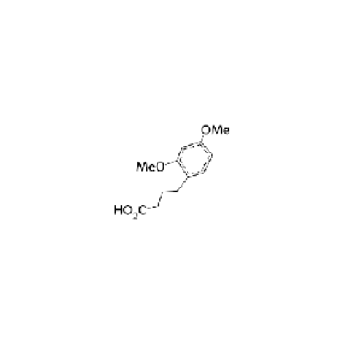 COc1ccc(CCCC(=O)O)c(OC)c1